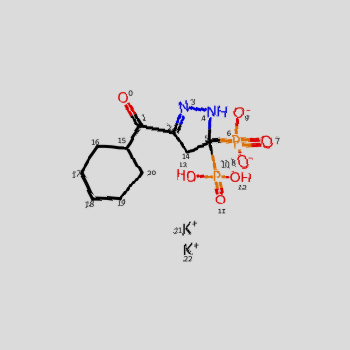 O=C(C1=NNC(P(=O)([O-])[O-])(P(=O)(O)O)C1)C1CCCCC1.[K+].[K+]